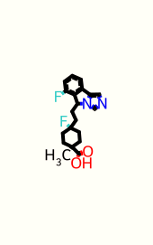 CC1(C(=O)O)CCC(F)(CCC2c3c(F)cccc3-c3cncn32)CC1